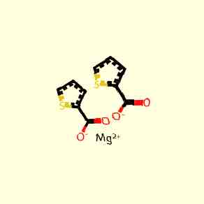 O=C([O-])c1cccs1.O=C([O-])c1cccs1.[Mg+2]